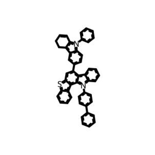 C1=Cc2c(c3cc(-c4cc5sc6ccccc6c5c5c4c4ccccc4n5-c4ccc(-c5ccccc5)cc4)ccc3n2-c2ccccc2)CC1